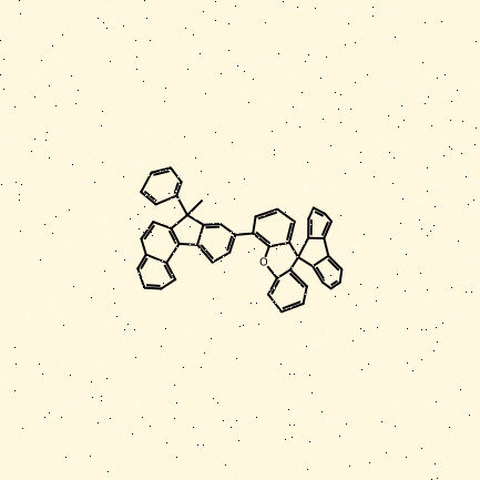 CC1(c2ccccc2)c2cc(-c3cccc4c3Oc3ccccc3C43c4ccccc4-c4ccccc43)ccc2-c2c1ccc1ccccc21